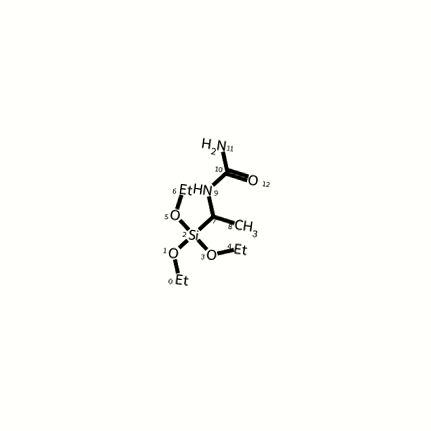 CCO[Si](OCC)(OCC)C(C)NC(N)=O